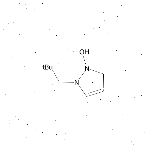 CC(C)(C)CN1C=CCN1O